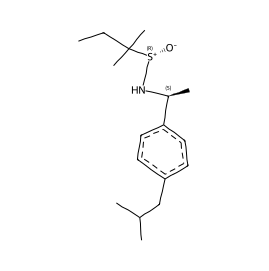 CCC(C)(C)[S@+]([O-])N[C@@H](C)c1ccc(CC(C)C)cc1